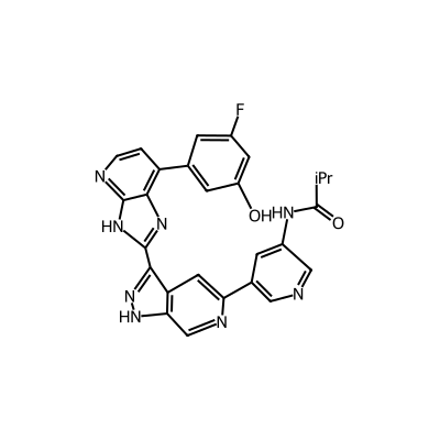 CC(C)C(=O)Nc1cncc(-c2cc3c(-c4nc5c(-c6cc(O)cc(F)c6)ccnc5[nH]4)n[nH]c3cn2)c1